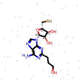 Nc1nc(CCCO)nc2c1ncn2[C@@H]1O[C@H](CS)[C@@H](O)[C@H]1O